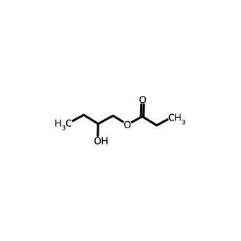 CCC(=O)OCC(O)CC